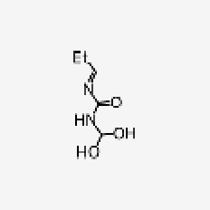 CCC=NC(=O)NC(O)O